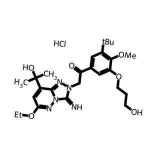 CCOc1cc(C(C)(C)O)c2nn(CC(=O)c3cc(OCCCO)c(OC)c(C(C)(C)C)c3)c(=N)n2n1.Cl